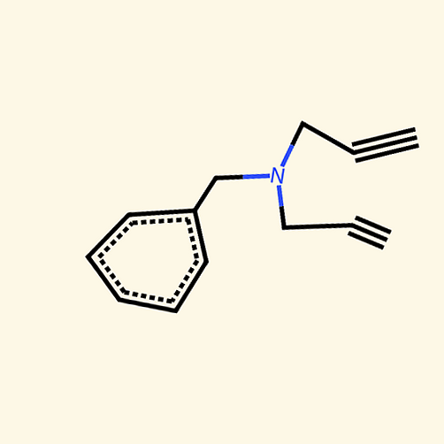 C#CCN(CC#C)Cc1ccccc1